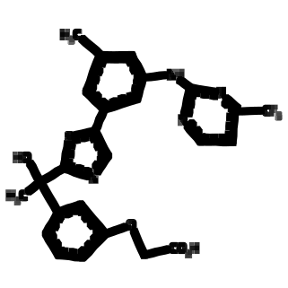 Cc1cc(Nc2nccc(C(F)(F)F)n2)cc(-c2cnc(C(C)(O)c3cccc(OCC(=O)O)c3)s2)c1